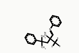 CC(C)(CC(O)(/C=N/c1ccccc1)C(F)(F)F)c1ccccc1